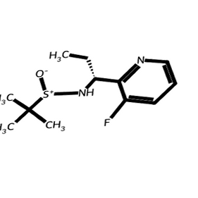 CC[C@@H](N[S+]([O-])C(C)(C)C)c1ncccc1F